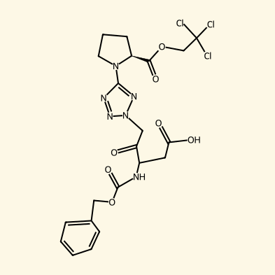 O=C(O)CC(NC(=O)OCc1ccccc1)C(=O)Cn1nnc(N2CCC[C@H]2C(=O)OCC(Cl)(Cl)Cl)n1